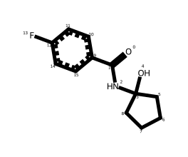 O=C(NC1(O)CCCC1)c1ccc(F)cc1